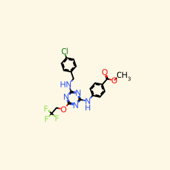 COC(=O)c1ccc(Nc2nc(NCc3ccc(Cl)cc3)nc(OCC(F)(F)F)n2)cc1